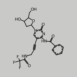 O=C(Nc1nc(=O)n(C2CC(O)C(CO)O2)cc1C#CCNC(=O)C(F)(F)F)c1ccccc1